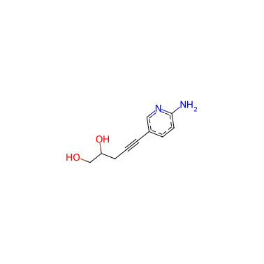 Nc1ccc(C#CCC(O)CO)cn1